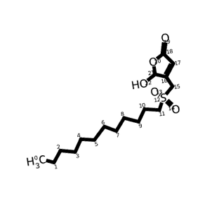 CCCCCCCCCCCCS(=O)(=O)CC1=CC(=O)OC1O